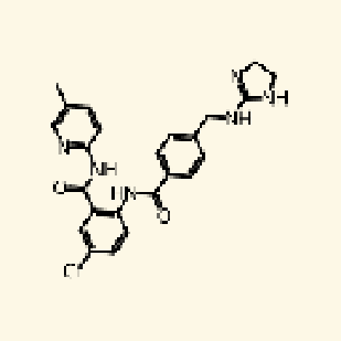 Cc1ccc(NC(=O)c2cc(Cl)ccc2NC(=O)c2ccc(CNC3=NCCN3)cc2)nc1